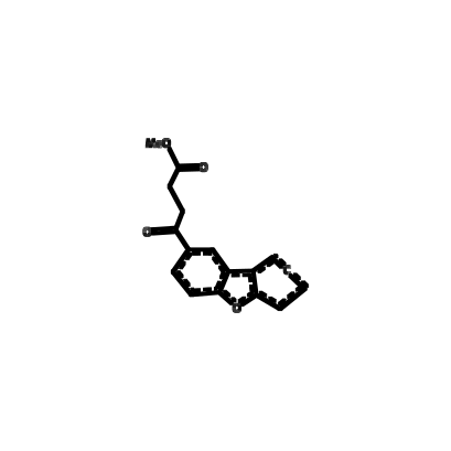 COC(=O)CCC(=O)c1ccc2oc3ccccc3c2c1